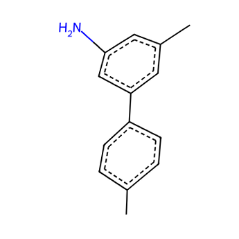 Cc1ccc(-c2cc(C)cc(N)c2)cc1